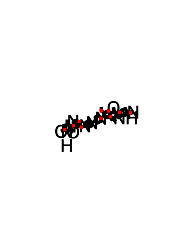 CCc1cc2c(cc1N1CCC(N3CCN(Cc4ccnc(N5CCC(=O)NC5=O)c4)CC3)CC1)C(C)(C)c1[nH]c3cc(C#N)ccc3c1C2=O